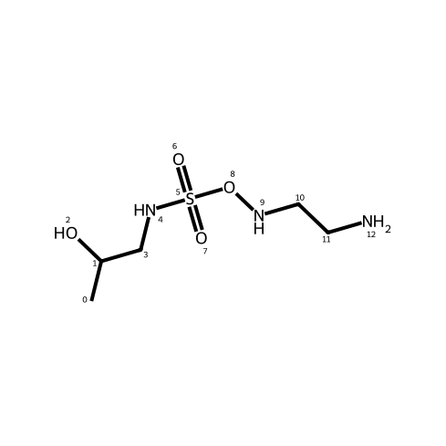 CC(O)CNS(=O)(=O)ONCCN